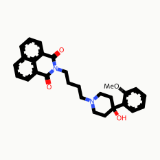 COc1ccccc1C1(O)CCN(CCCCN2C(=O)c3cccc4cccc(c34)C2=O)CC1